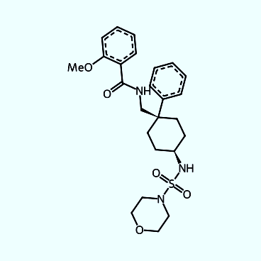 COc1ccccc1C(=O)NC[C@]1(c2ccccc2)CC[C@H](NS(=O)(=O)N2CCOCC2)CC1